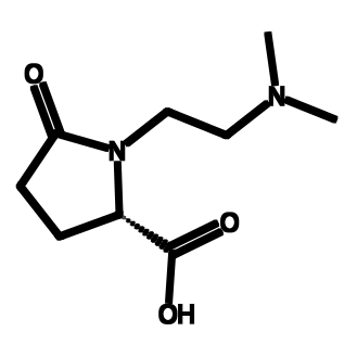 CN(C)CCN1C(=O)CC[C@H]1C(=O)O